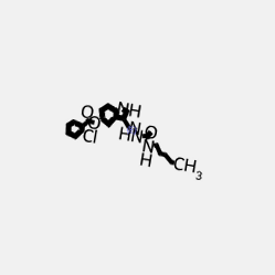 CCCCCNC(=O)N/N=C/c1c[nH]c2ccc(OC(=O)c3ccccc3Cl)cc12